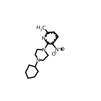 Cc1ccc([N+](=O)[O-])c(N2CCN(C3CCCCC3)CC2)n1